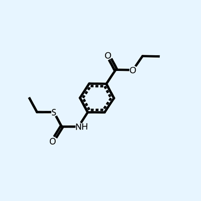 CCOC(=O)c1ccc(NC(=O)SCC)cc1